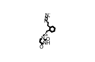 [N-]=[N+]=NCCc1ccccc1CSCn1ccc(=O)[nH]c1=O